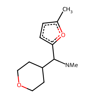 CNC(c1ccc(C)o1)C1CCOCC1